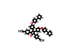 C#Cc1ccc(C2=C(c3ccc(Oc4ccc(-c5ccccc5)cc4)cc3)C(c3ccc(Oc4ccc(-c5ccccc5)cc4)cc3)=C(c3ccc(C#C)cc3)C2=O)cc1